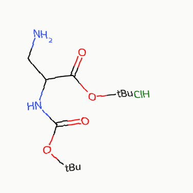 CC(C)(C)OC(=O)NC(CN)C(=O)OC(C)(C)C.Cl